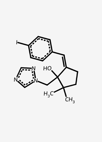 CC1(C)CCC(=Cc2ccc(I)cc2)C1(O)Cn1cncn1